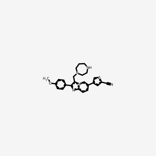 COc1ccc(-c2nc3ccc(-c4csc(C#N)c4)cn3c2CN2CCCNCC2)cc1